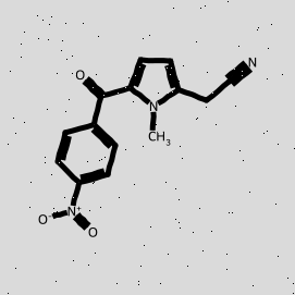 Cn1c(CC#N)ccc1C(=O)c1ccc([N+](=O)[O-])cc1